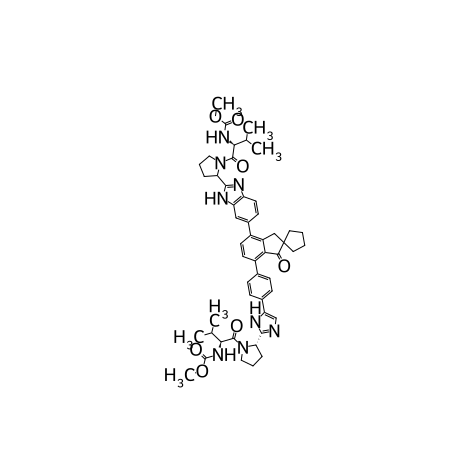 COC(=O)N[C@H](C(=O)N1CCCC1c1nc2ccc(-c3ccc(-c4ccc(-c5cnc([C@@H]6CCCN6C(=O)[C@@H](NC(=O)OC)C(C)C)[nH]5)cc4)c4c3CC3(CCCC3)C4=O)cc2[nH]1)C(C)C